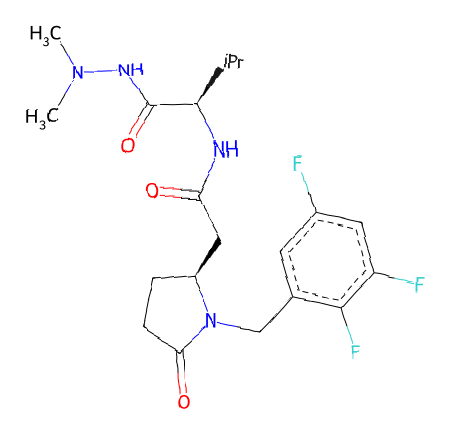 CC(C)[C@@H](NC(=O)C[C@@H]1CCC(=O)N1Cc1cc(F)cc(F)c1F)C(=O)NN(C)C